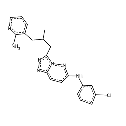 CC(Cc1cccnc1N)Cc1nnc2ccc(Nc3cccc(Cl)c3)nn12